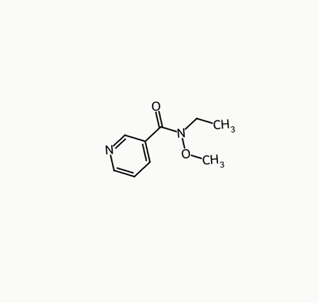 CCN(OC)C(=O)c1cccnc1